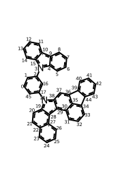 c1cc(-n2c3ccccc3c3ccccc32)cc(-n2c3ccc4ccccc4c3c3c4cccc5c4c(cc32)-c2ccccc2-5)c1